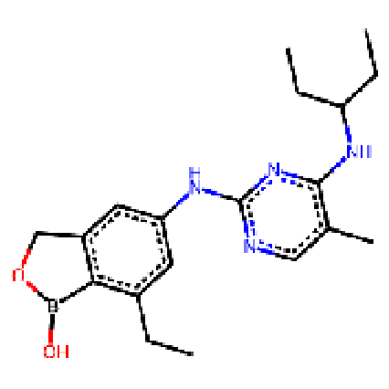 CCc1cc(Nc2ncc(C)c(NC(CC)CC)n2)cc2c1B(O)OC2